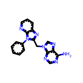 Nc1ncnc2c1ncn2Cc1nc2cccnc2n1-c1ccccc1